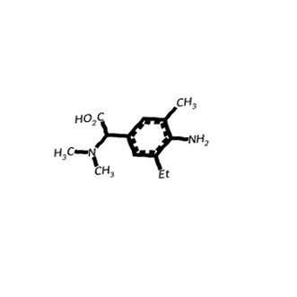 CCc1cc(C(C(=O)O)N(C)C)cc(C)c1N